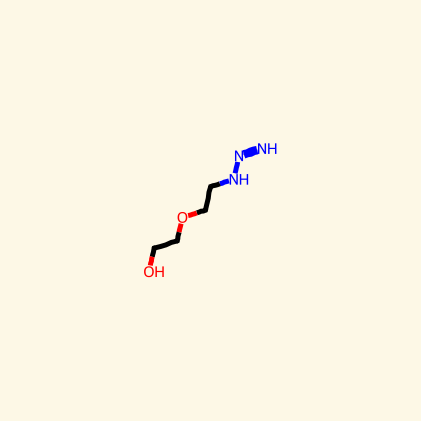 N=NNCCOCCO